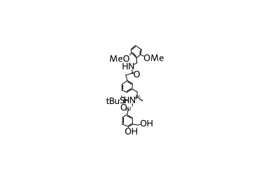 COc1cccc(OC)c1CNC(=O)Cc1cccc(C[C@@H](C)NC[C@@H](O[Si](C)(C)C(C)(C)C)c2ccc(O)c(CO)c2)c1